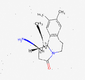 Cc1cc2c(cc1C)C13C[C@H](C)[C@@H](N)[C@@H]1CC(=O)N3CC2